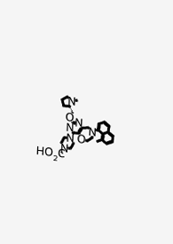 Cc1cccc2cccc(N3CCOc4c(nc(OC[C@@H]5CCCN5C)nc4N4CCN(C(=O)O)CC4)C3)c12